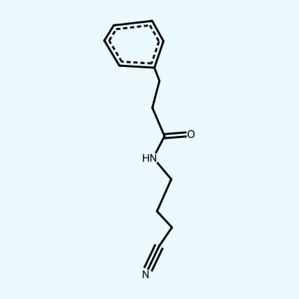 N#CCCCNC(=O)CCc1ccccc1